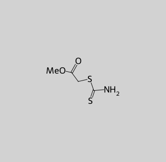 COC(=O)CSC(N)=S